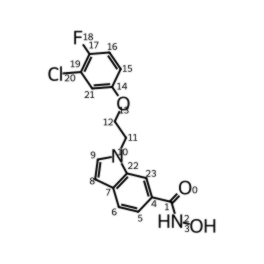 O=C(NO)c1ccc2ccn(CCOc3ccc(F)c(Cl)c3)c2c1